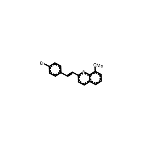 COc1cccc2ccc(/C=C/c3ccc(Br)cc3)nc12